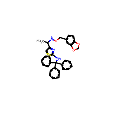 O=C(O)C(NOCc1ccc2c(c1)OCO2)c1csc(NC(c2ccccc2)(c2ccccc2)c2ccccc2)n1